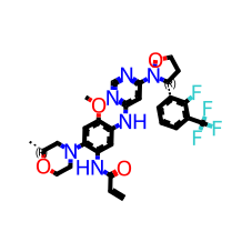 C=CC(=O)Nc1cc(Nc2cc(N3OCC[C@@H]3c3cccc(C(F)(F)F)c3F)ncn2)c(OC)cc1N1CCO[C@H](C)C1